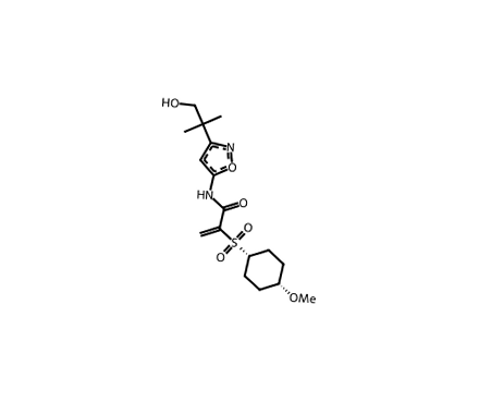 C=C(C(=O)Nc1cc(C(C)(C)CO)no1)S(=O)(=O)[C@H]1CC[C@@H](OC)CC1